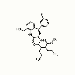 CC(C)(C)OC(=O)[C@@H](CCC(F)(F)F)[C@@H](CCC(F)(F)F)C(=O)NC1N=C(c2cccc(F)c2)c2cccc(CO)c2NC1=O